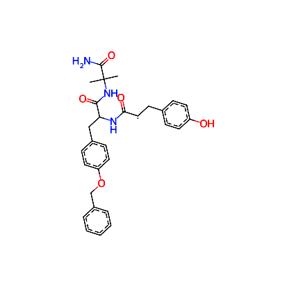 CC(C)(NC(=O)C(Cc1ccc(OCc2ccccc2)cc1)NC(=O)[CH]Cc1ccc(O)cc1)C(N)=O